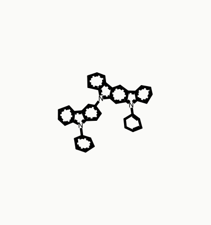 C1=CCCC(n2c3ccccc3c3cc4c5ccccc5n(-c5ccc6c(c5)c5ccccc5n6-c5ccccc5)c4cc32)=C1